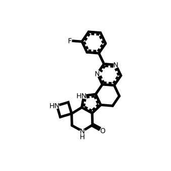 O=C1NCC2(CNC2)c2[nH]c3c(c21)CCc1cnc(-c2cccc(F)c2)nc1-3